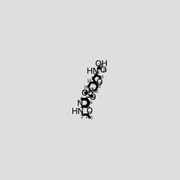 CC1CNc2ncc(S(=O)(=O)N3CCC4(CC3)CC(NC(=O)O)CO4)cc2O1